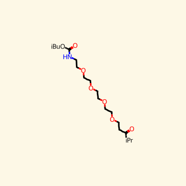 CC(C)COC(=O)NCCOCCOCCOCCOCCC(=O)C(C)C